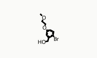 COCCOc1ccc(Br)c(CO)c1